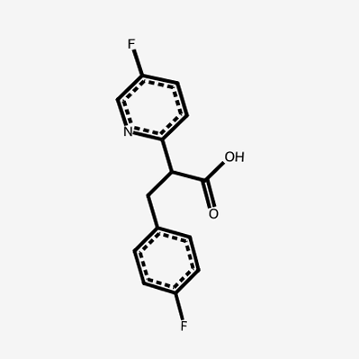 O=C(O)C(Cc1ccc(F)cc1)c1ccc(F)cn1